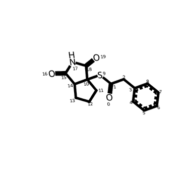 O=C(Cc1ccccc1)SC12CCCC1C(=O)NC2=O